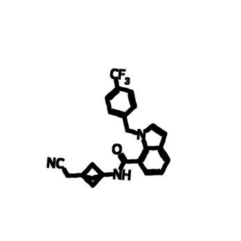 N#CCC12CC(NC(=O)c3cccc4ccn(Cc5ccc(C(F)(F)F)cc5)c34)(C1)C2